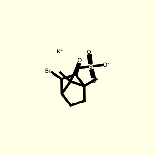 CC12CCC(C(Br)C1=O)C2(C)CS(=O)(=O)[O-].[K+]